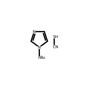 CCCCn1ccnc1.N#CS